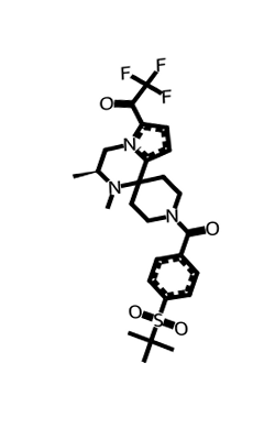 C[C@H]1Cn2c(C(=O)C(F)(F)F)ccc2C2(CCN(C(=O)c3ccc(S(=O)(=O)C(C)(C)C)cc3)CC2)N1C